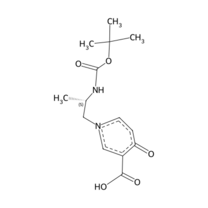 C[C@@H](Cn1ccc(=O)c(C(=O)O)c1)NC(=O)OC(C)(C)C